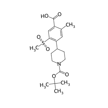 Cc1cc(C2CCN(C(=O)OC(C)(C)C)CC2)c(S(C)(=O)=O)cc1C(=O)O